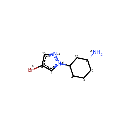 N[C@@H]1CCCC(n2cc(Br)cn2)C1